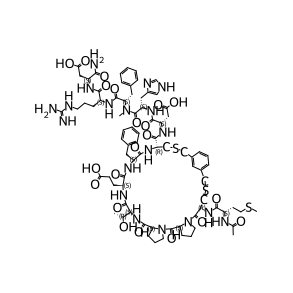 CSCC[C@H](NC(C)=O)C(=O)N[C@H]1CSCc2cccc(c2)CSC[C@@H](C(=O)N[C@@H](CC(=O)O)C(=O)N[C@@H](Cc2c[nH]cn2)C(=O)N(C)[C@@H](Cc2ccccc2)C(=O)N[C@@H](CCCNC(=N)N)C(=O)N[C@@H](CC(=O)O)C(N)=O)NC(=O)[C@H](Cc2ccccc2)NC(=O)[C@H](CCC(=O)O)NC(=O)[C@H]([C@@H](C)O)NC(=O)[C@@H]2CCCN2C(=O)[C@@H]2CCCN2C1=O